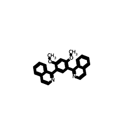 COc1cc(OC)c(-c2nccc3ccccc23)cc1-c1nccc2ccccc12